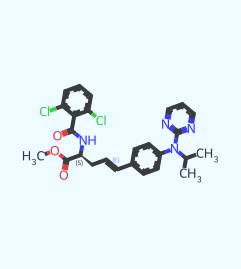 COC(=O)[C@H](C/C=C/c1ccc(N(c2ncccn2)C(C)C)cc1)NC(=O)c1c(Cl)cccc1Cl